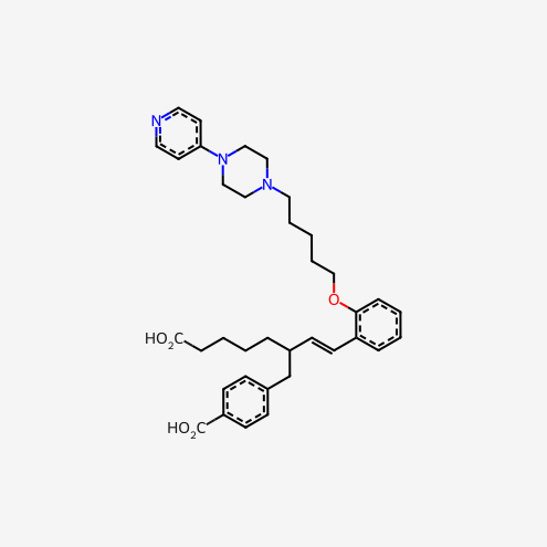 O=C(O)CCCCC(/C=C/c1ccccc1OCCCCCN1CCN(c2ccncc2)CC1)Cc1ccc(C(=O)O)cc1